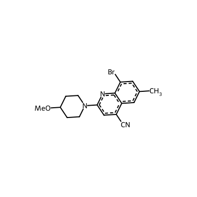 COC1CCN(c2cc(C#N)c3cc(C)cc(Br)c3n2)CC1